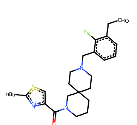 CCCCc1nc(C(=O)N2CCCC3(CCN(Cc4cccc(CC=O)c4F)CC3)C2)cs1